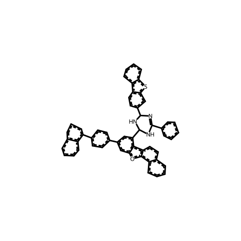 c1ccc(C2=NC(c3ccc4c(c3)sc3ccccc34)NC(c3cc(-c4ccc(-c5cccc6ccccc56)cc4)cc4oc5c6ccccc6ccc5c34)N2)cc1